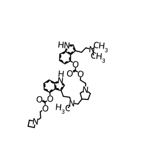 CN(C)CCc1c[nH]c2cccc(OC(=O)OCCN3CCC(CN(C)CCc4c[nH]c5cccc(OC(=O)OCCN6CCC6)c45)C3)c12